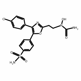 NC(=O)N(O)CCc1nc(-c2ccc(Cl)cc2)c(-c2ccc(S(N)(=O)=O)cc2)o1